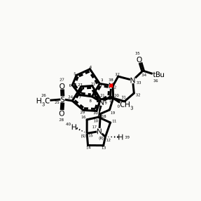 Cc1nc2ccccc2n1[C@H]1C[C@H]2CC[C@@H](C1)N2CCC1(c2ccc(S(C)(=O)=O)cc2)CCN(C(=O)C(C)(C)C)CC1